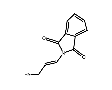 O=C1c2ccccc2C(=O)N1C=CCS